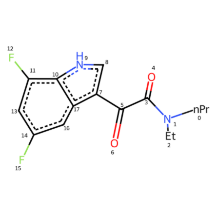 CCCN(CC)C(=O)C(=O)c1c[nH]c2c(F)cc(F)cc12